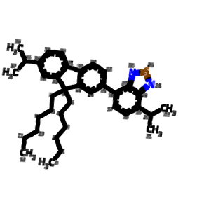 CCCCCCC1(CCCCCC)c2cc(-c3ccc(C(C)C)c4nsnc34)ccc2-c2ccc(C(C)C)cc21